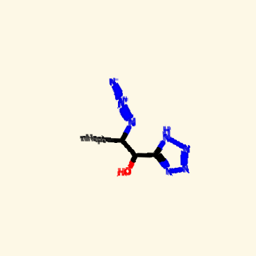 CCCCCCCC(N=[N+]=[N-])C(O)c1nnn[nH]1